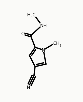 CNC(=O)c1cc(C#N)cn1C